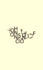 C#CCON(Cc1ccc(F)cc1F)C(=O)c1sc(NC(=O)OC(C)(C)C)nc1Cl